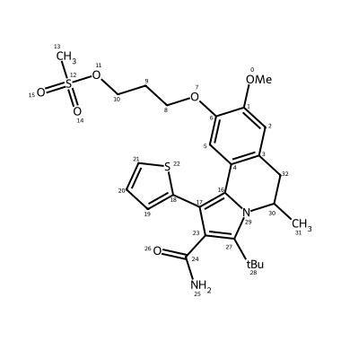 COc1cc2c(cc1OCCCOS(C)(=O)=O)-c1c(-c3cccs3)c(C(N)=O)c(C(C)(C)C)n1C(C)C2